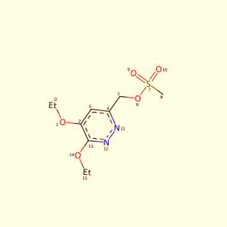 CCOc1cc(COS(C)(=O)=O)nnc1OCC